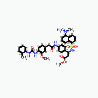 COC(=O)CC(NS(=O)(=O)c1cccc2c(N(C)C)cccc12)c1ccc(NC(=O)Cc2ccc(NC(=O)Nc3ccccc3C)c(OC)c2)cc1